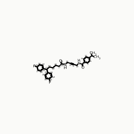 CC(C)c1ccc(C(=O)NCC#CCNC(=O)CCCCC(c2ccc(F)cc2)c2ccc(F)cc2)cc1